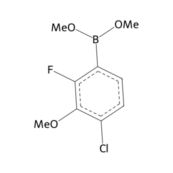 COB(OC)c1ccc(Cl)c(OC)c1F